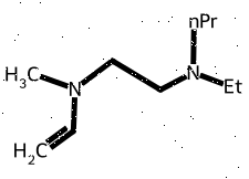 C=CN(C)CCN(CC)CCC